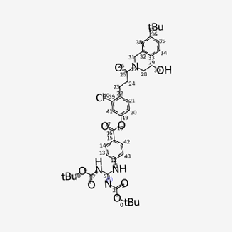 CC(C)(C)OC(=O)/N=C(/NC(=O)OC(C)(C)C)Nc1ccc(C(=O)Oc2ccc(CCC(=O)N(CCO)Cc3cccc(C(C)(C)C)c3)c(Cl)c2)cc1